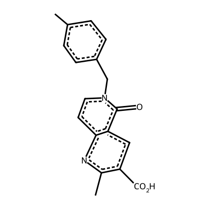 Cc1ccc(Cn2ccc3nc(C)c(C(=O)O)cc3c2=O)cc1